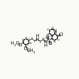 COc1ccc(CCNCCNS(=O)(=O)c2ccc(Cl)c3ncccc23)cc1OC